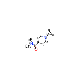 CCN(CC)C(=O)C1CCN(C2CC2)CC1